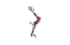 CCCCCCCCCCCCCCCOc1ccccc1OC(=O)c1ccc(C(C)OCCCCCCCCCCCCCC)cc1